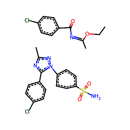 CCOC(C)=NC(=O)c1ccc(Cl)cc1.Cc1nc(-c2ccc(Cl)cc2)n(-c2ccc(S(N)(=O)=O)cc2)n1